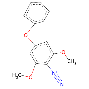 COc1cc(Oc2ccccc2)cc(OC)c1[N+]#N